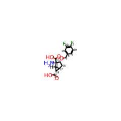 N[C@@]1(C(=O)O)[C@H](OCc2ccc(F)c(F)c2)CC2[C@H](C(=O)O)[C@H]21